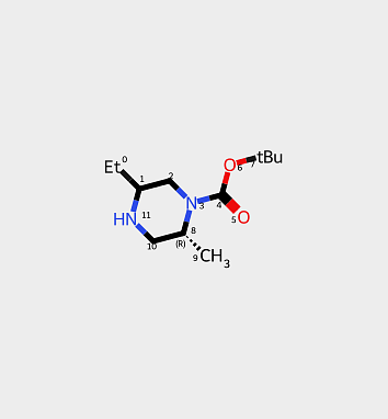 CCC1CN(C(=O)OC(C)(C)C)[C@H](C)CN1